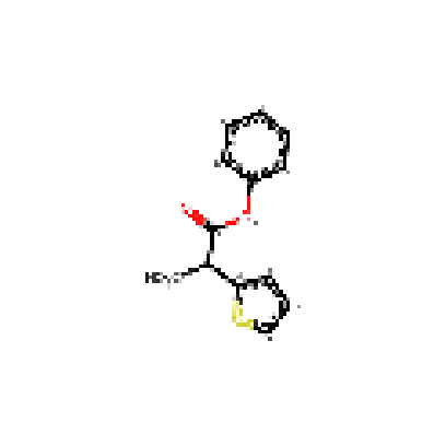 O=C(O)C(C(=O)Oc1ccccc1)c1cccs1